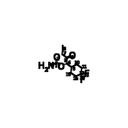 NC(=O)O[C@H](C(=O)CI)C1CCC(F)(F)CC1